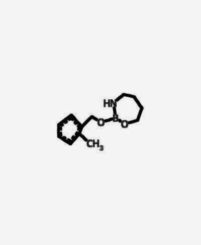 Cc1ccccc1COB1NCCCCO1